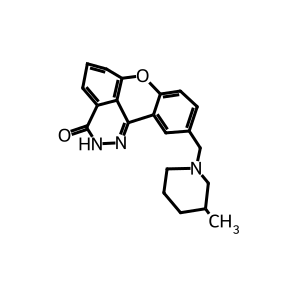 CC1CCCN(Cc2ccc3c(c2)-c2n[nH]c(=O)c4cccc(c24)O3)C1